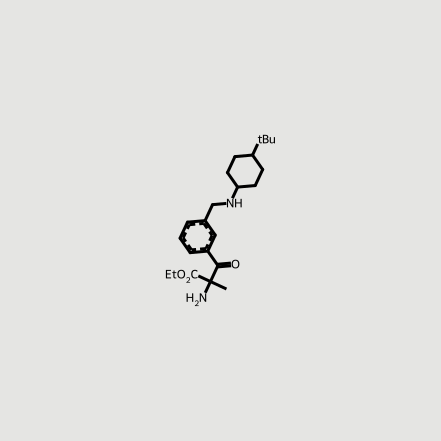 CCOC(=O)C(C)(N)C(=O)c1cccc(CNC2CCC(C(C)(C)C)CC2)c1